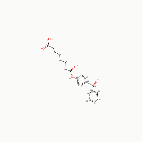 O=C(O)CCCCCCC(=O)Oc1ccc(C(=O)c2ccccc2)cc1